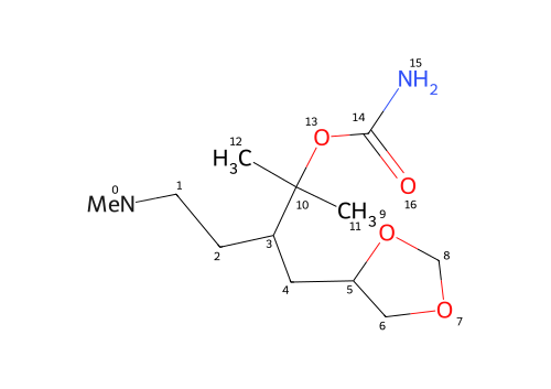 CNCCC(CC1COCO1)C(C)(C)OC(N)=O